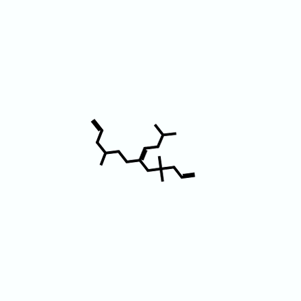 C=CCC(C)CCC(=CCC(C)C)CC(C)(C)CC=C